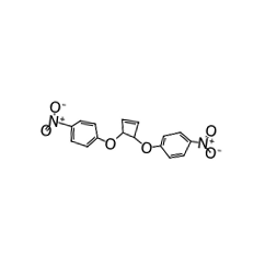 O=[N+]([O-])c1ccc(OC2C=CC2Oc2ccc([N+](=O)[O-])cc2)cc1